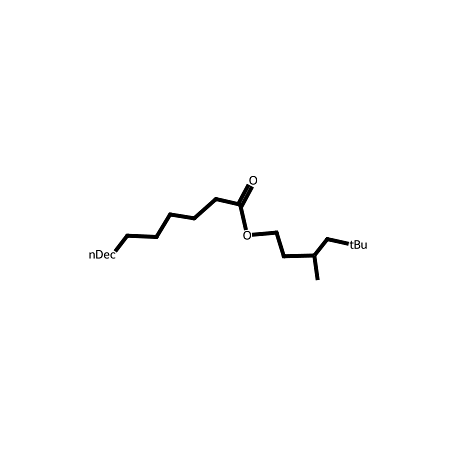 CCCCCCCCCCCCCCCC(=O)OCCC(C)CC(C)(C)C